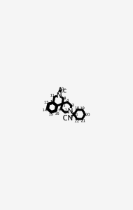 [C-]#[N+]C1(N2CCC3(CC2)CN(C(C)=O)Cc2ccccc23)CCCCC1